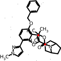 Cn1ccc(-c2ccc(OCc3ccccc3)c3nc(N4CC5CCC(C4)N5C(=O)OC(C)(C)C)oc23)n1